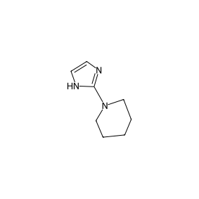 c1c[nH]c(N2CCCCC2)n1